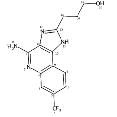 Nc1nc2cc(C(F)(F)F)ccc2c2[nH]c(CCCO)nc12